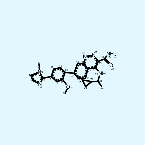 COc1cc(-c2nccn2C)ccc1-c1ccc2c(NC(C)C3CC3)c(C(N)=O)nnc2c1